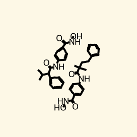 CC(C)(CCc1ccccc1)C(=O)Nc1ccc(C(=O)NO)cc1.CC(C)C(C(=O)Nc1ccc(C(=O)NO)cc1)c1ccccc1